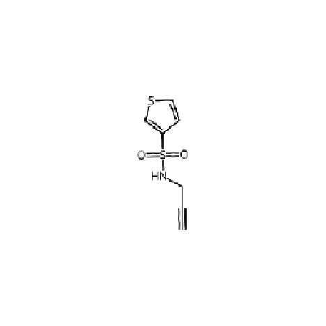 C#CCNS(=O)(=O)c1ccsc1